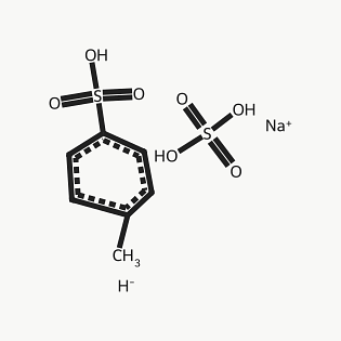 Cc1ccc(S(=O)(=O)O)cc1.O=S(=O)(O)O.[H-].[Na+]